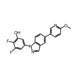 COc1ccc(-c2ccc3c(cnn3-c3cc(O)c(F)c(F)c3)c2)cn1